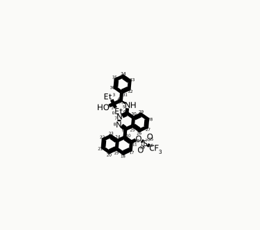 CCC(O)(CC)[C@H](Nc1nnc(-c2c(OS(=O)(=O)C(F)(F)F)ccc3ccccc23)c2ccccc12)c1ccccc1